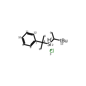 CC([SiH](Cl)C(C)(C)c1ccccc1)C(C)(C)C